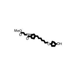 COC(=O)CCNC(=O)c1ccc(CCCCCCCOc2ccc(O)cc2)cc1